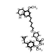 COc1cc(CCCCCO[C@@H]2CCN([C@H](C(=O)O)c3cc(CC4CC4)cc(F)c3OC)C2)nc2c1CCCN2